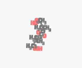 CC(CCCC(C)(C)c1ccc2c(c1)C(=O)c1cc(C(C)(C)CCCC(C)CC(=O)O)ccc1C2=O)CC(=O)O